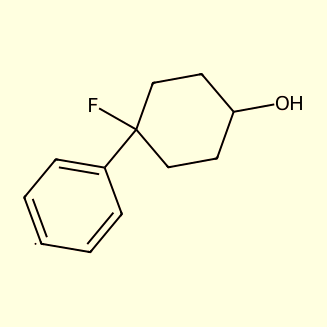 OC1CCC(F)(c2cc[c]cc2)CC1